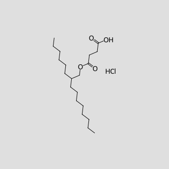 CCCCCCCCC(CCCCCC)COC(=O)CCC(=O)O.Cl